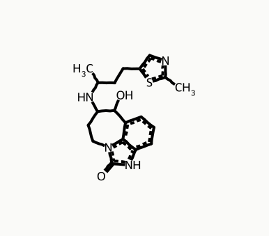 Cc1ncc(CCC(C)NC2CCn3c(=O)[nH]c4cccc(c43)C2O)s1